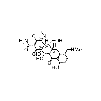 CNCc1ccc(O)c2c1C[C@@H]1C(=C(O)[C@]3(O)C(=O)C(C(N)=O)=C(O)[C@@H](N(C)C)[C@@H]3[C@@H]1CO)C2=O